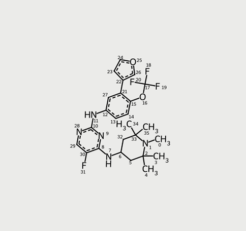 CN1C(C)(C)CC(Nc2nc(Nc3ccc(OC(F)(F)F)c(-c4ccoc4)c3)ncc2F)CC1(C)C